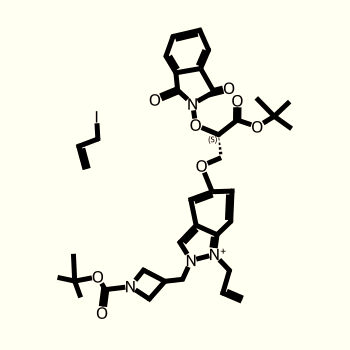 C=CCI.C=CC[n+]1c2ccc(OC[C@H](ON3C(=O)c4ccccc4C3=O)C(=O)OC(C)(C)C)cc2cn1CC1CN(C(=O)OC(C)(C)C)C1